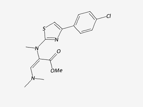 COC(=O)C(=CN(C)C)N(C)c1nc(-c2ccc(Cl)cc2)cs1